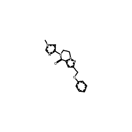 Cn1cnc(N2CCn3nc(COc4ccccc4)cc3C2=O)c1